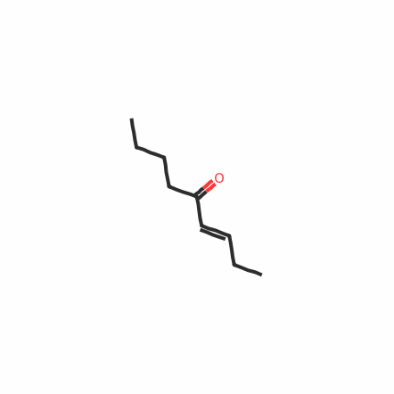 CCC=CC(=O)CCCC